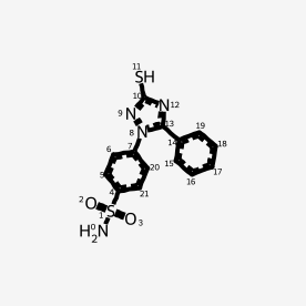 NS(=O)(=O)c1ccc(-n2nc(S)nc2-c2ccccc2)cc1